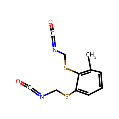 Cc1cccc(SCN=C=O)c1SCN=C=O